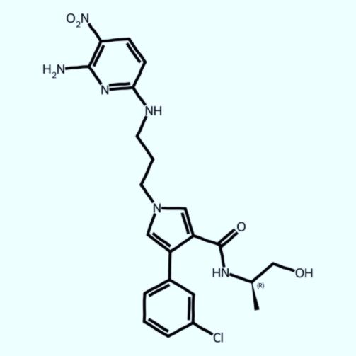 C[C@H](CO)NC(=O)c1cn(CCCNc2ccc([N+](=O)[O-])c(N)n2)cc1-c1cccc(Cl)c1